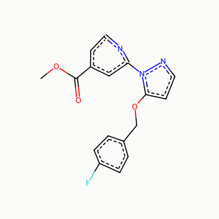 COC(=O)c1ccnc(-n2nccc2OCc2ccc(F)cc2)c1